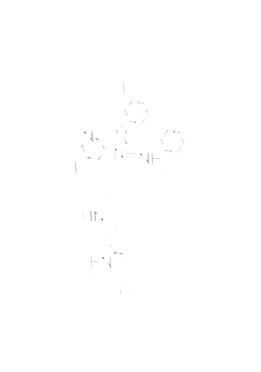 N[C@H](C(=O)Nc1cncc(F)c1CC[C@@H]1CN[C@H](COC(=O)N[C@@H]2COC[C@@H]2F)CO1)C(c1ccc(F)cc1)c1ccc(F)cc1